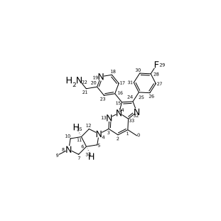 Cc1cc(N2C[C@H]3CN(C)C[C@H]3C2)nn2c(-c3ccnc(CN)c3)c(-c3ccc(F)cc3)nc12